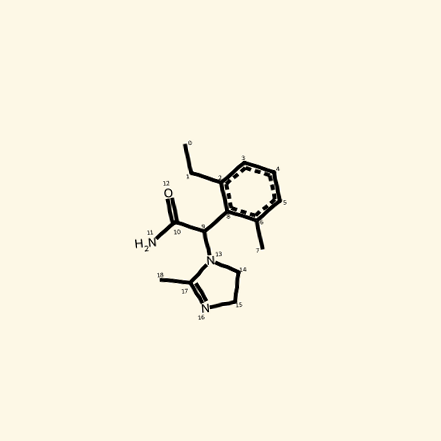 CCc1cccc(C)c1C(C(N)=O)N1CCN=C1C